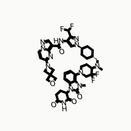 CN(C[C@H]1CC[C@H](n2cc(NC(=O)c3cnn4ccc(N5CC6(COC6)C5)nc34)c(C(F)F)n2)CC1)C1CCN(c2cccc3c2n(C)c(=O)n3C2CCC(=O)NC2=O)CC1(F)F